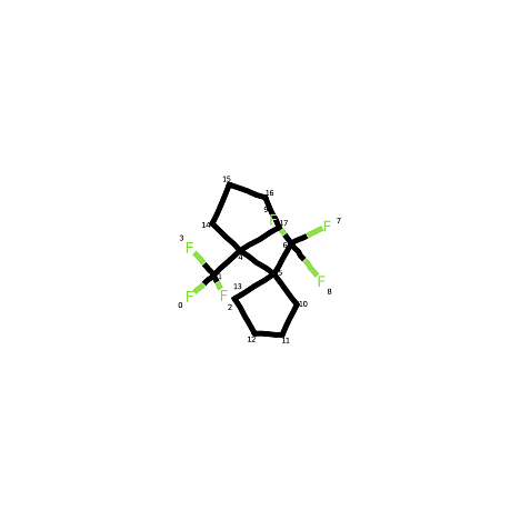 FC(F)(F)C1(C2(C(F)(F)F)CCCC2)CCCC1